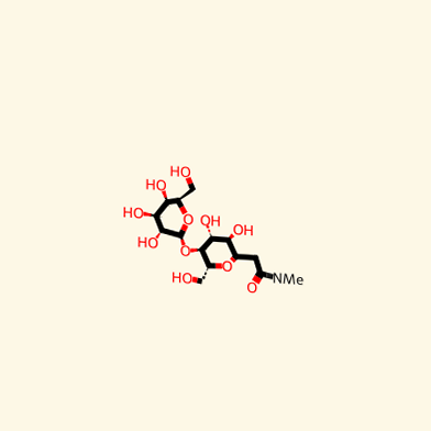 CNC(=O)CC1O[C@H](CO)[C@@H](O[C@@H]2O[C@H](CO)[C@H](O)[C@H](O)[C@H]2O)[C@H](O)[C@H]1O